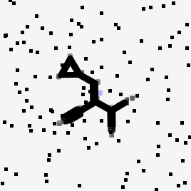 N#C/C(=C\C1CC1)C(=O)I